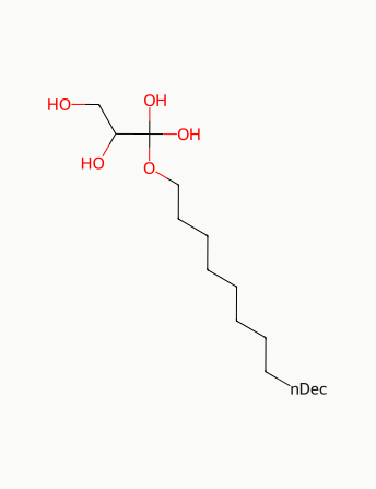 CCCCCCCCCCCCCCCCCCOC(O)(O)C(O)CO